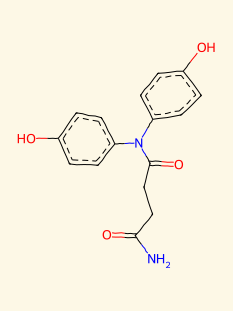 NC(=O)CCC(=O)N(c1ccc(O)cc1)c1ccc(O)cc1